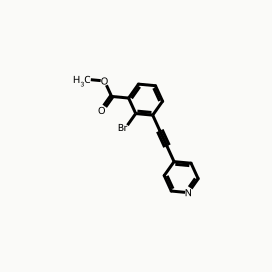 COC(=O)c1cccc(C#Cc2ccncc2)c1Br